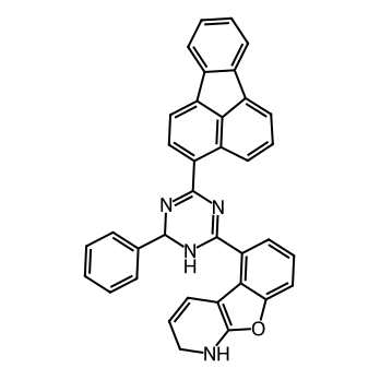 C1=Cc2c(oc3cccc(C4=NC(c5ccc6c7c(cccc57)-c5ccccc5-6)=NC(c5ccccc5)N4)c23)NC1